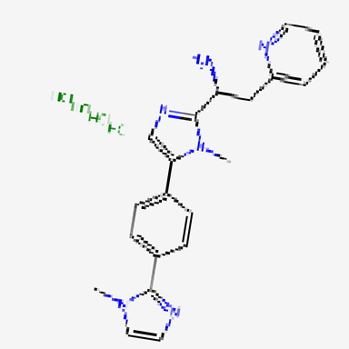 Cl.Cl.Cl.Cl.Cn1ccnc1-c1ccc(-c2cnc([C@@H](N)Cc3ccccn3)n2C)cc1